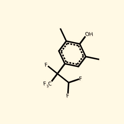 Cc1cc(C(F)(C(F)F)C(F)(F)F)cc(C)c1O